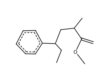 C=C(OC)C(C)CC(CC)c1ccccc1